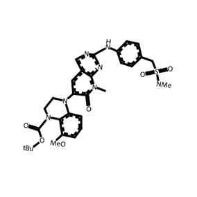 CNS(=O)(=O)Cc1ccc(Nc2ncc3cc(N4CCN(C(=O)OC(C)(C)C)c5c(OC)cccc54)c(=O)n(C)c3n2)cc1